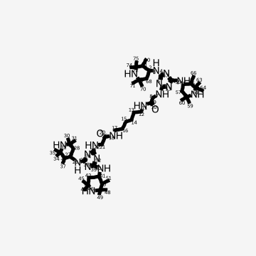 CC1C(Nc2nc(NCC(=O)NCCCCCCNC(=O)CNc3nc(NC4CC(C)(C)NC(C)(C)C4C)nc(NC4CC(C)(C)NC(C)(C)C4C)n3)nc(NC3CC(C)(C)NC(C)(C)C3C)n2)CC(C)(C)NC1(C)C